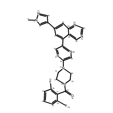 Cn1cc(-c2cc(-c3cnc(N4CCN(C(=O)c5c(F)cccc5F)CC4)cn3)c3cncnc3c2)cn1